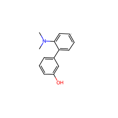 CN(C)c1c[c]ccc1-c1cccc(O)c1